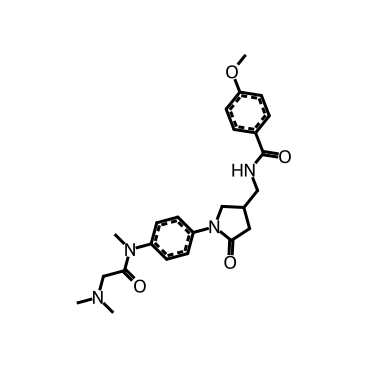 COc1ccc(C(=O)NCC2CC(=O)N(c3ccc(N(C)C(=O)CN(C)C)cc3)C2)cc1